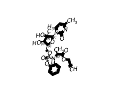 C#CCOC(=O)[C@H](C)N[P@](=O)(OC[C@H]1O[C@@H](n2ccc(C)nc2=O)[C@](C)(O)[C@@H]1O)Oc1ccccc1